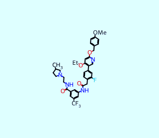 CCOc1cc(OCc2ccc(OC)cc2)ncc1-c1ccc(CC(=O)Nc2cc(C(=O)NCCN3CCC(C)C3)cc(C(F)(F)F)c2)c(F)c1